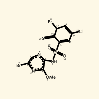 COc1nc(Br)cnc1NS(=O)(=O)C1=CC(Cl)=CC(Br)C1=S